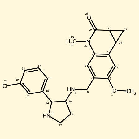 COc1cc2c(cc1CNC1CCNC1c1cccc(Cl)c1)N(C)C(=O)C1CC21